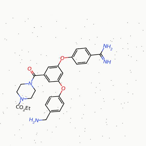 CCOC(=O)N1CCN(C(=O)c2cc(Oc3ccc(CN)cc3)cc(Oc3ccc(C(=N)N)cc3)c2)CC1